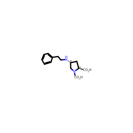 O=C(O)[C@@H]1C[C@@H](NCCc2ccccc2)CN1C(=O)O